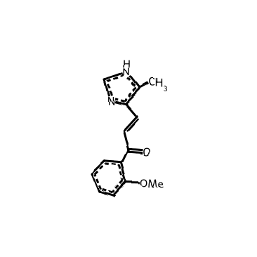 COc1ccccc1C(=O)C=Cc1nc[nH]c1C